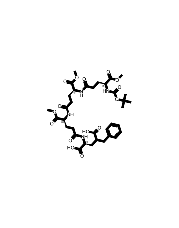 COC(=O)[C@H](CCC(=O)N[C@@H](CC(Cc1ccccc1)C(=O)O)C(=O)O)NC(=O)CC[C@H](NC(=O)CC[C@H](NC(=O)OC(C)(C)C)C(=O)OC)C(=O)OC